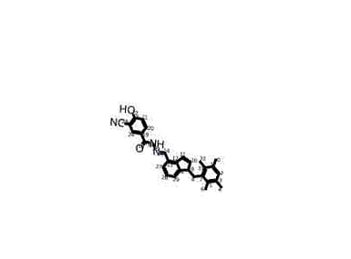 Cc1cc(C)c(C)c(CC2C=Cc3c(/C=N/NC(=O)c4ccc(O)c(C#N)c4)cccc32)c1C